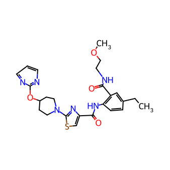 CCc1ccc(NC(=O)c2csc(N3CCC(Oc4ncccn4)CC3)n2)c(C(=O)NCCOC)c1